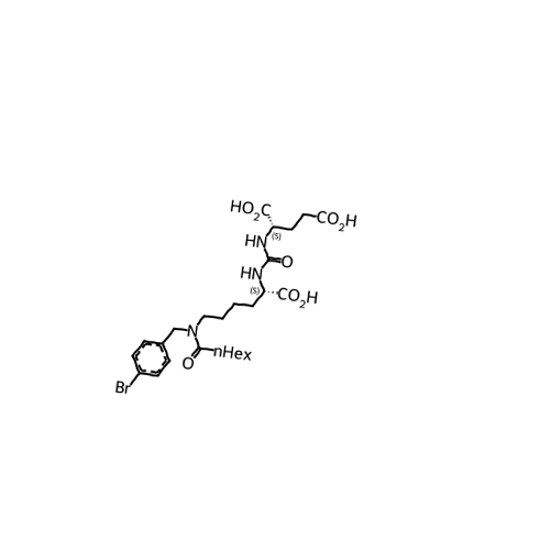 CCCCCCC(=O)N(CCCC[C@H](NC(=O)N[C@@H](CCC(=O)O)C(=O)O)C(=O)O)Cc1ccc(Br)cc1